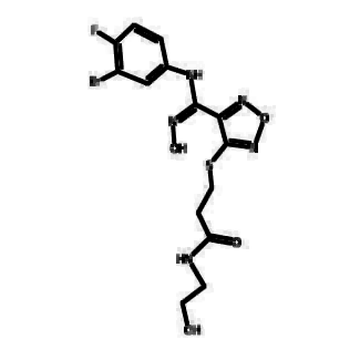 O=C(CCSc1nonc1C(=NO)Nc1ccc(F)c(Br)c1)NCCO